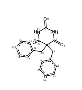 O=C1NC(=O)C(Cc2ccncc2)(Cc2ccncc2)C(=O)N1